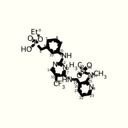 CCOP(=O)(O)Cc1cccc(Nc2ncc(C(F)(F)F)c(NCc3cccnc3N(C)S(C)(=O)=O)n2)c1